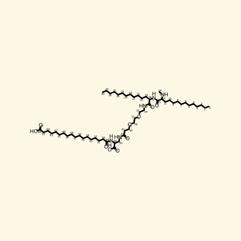 CCCCCCCCCCCCC(NC)C(=O)NC(CCCCCCCCCCCC)C(=O)NCCOCCOCCC(=O)NCC(NC(=O)CCCCCCCCCCCCCCCCC(=O)O)C(=O)O